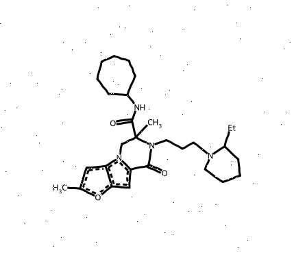 CCC1CCCCN1CCCN1C(=O)c2cc3oc(C)cc3n2CC1(C)C(=O)NC1CCCCCC1